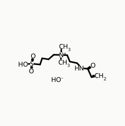 C=CC(=O)NCCC[N+](C)(C)CCCCS(=O)(=O)O.[OH-]